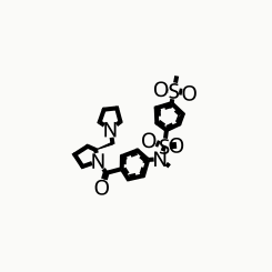 CN(c1ccc(C(=O)N2CCC[C@H]2CN2CCCC2)cc1)S(=O)(=O)c1ccc(S(C)(=O)=O)cc1